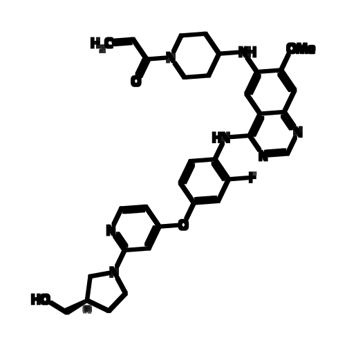 C=CC(=O)N1CCC(Nc2cc3c(Nc4ccc(Oc5ccnc(N6CC[C@@H](CO)C6)c5)cc4F)ncnc3cc2OC)CC1